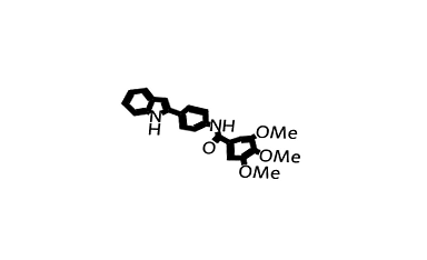 COc1cc(C(=O)Nc2ccc(-c3cc4ccccc4[nH]3)cc2)cc(OC)c1OC